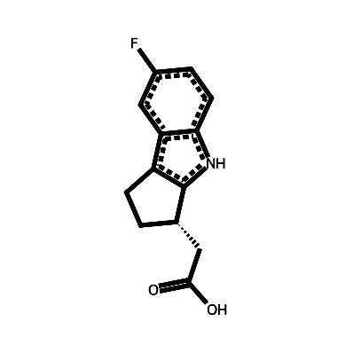 O=C(O)C[C@@H]1CCc2c1[nH]c1ccc(F)cc21